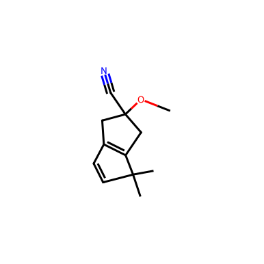 COC1(C#N)CC2=C(C1)C(C)(C)C=C2